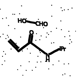 C=CC(=O)NC(C)C.O=CO